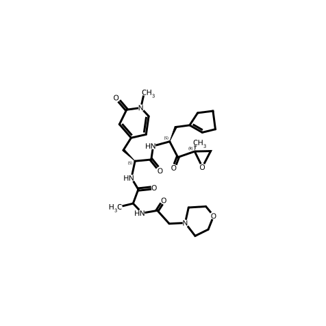 CC(NC(=O)CN1CCOCC1)C(=O)N[C@@H](Cc1ccn(C)c(=O)c1)C(=O)N[C@@H](CC1=CCCC1)C(=O)[C@@]1(C)CO1